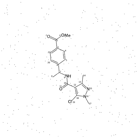 COC(=O)c1ccc(C(C)NC(=O)c2c(C)nn(C)c2Cl)cc1